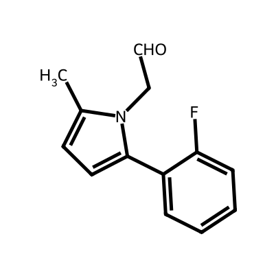 Cc1ccc(-c2ccccc2F)n1CC=O